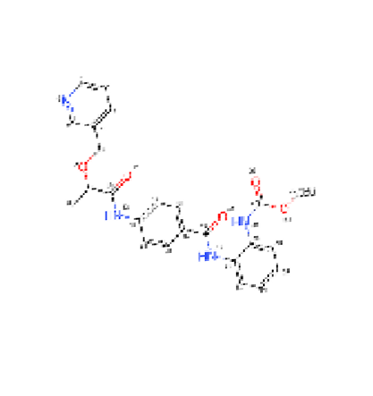 CC(OCc1cccnc1)C(=O)Nc1ccc(C(=O)Nc2ccccc2NC(=O)OC(C)(C)C)cc1